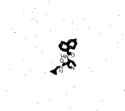 O=C(NCC1CC1)c1cnccc1NC(=O)c1cccc2ccccc12